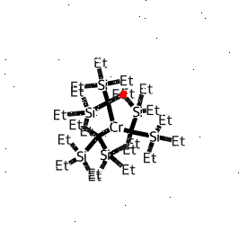 CC[C]([Cr]([C](CC)([Si](CC)(CC)CC)[Si](CC)(CC)CC)[C](CC)([Si](CC)(CC)CC)[Si](CC)(CC)CC)([Si](CC)(CC)CC)[Si](CC)(CC)CC